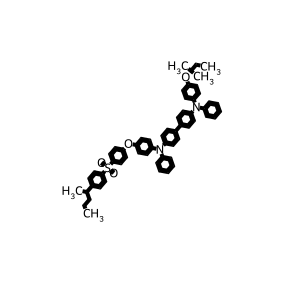 CCCC(C)c1ccc(S(=O)(=O)c2ccc(Oc3ccc(N(c4ccccc4)c4ccc(-c5ccc(N(c6ccccc6)c6ccc(OC(C)(C)CC)cc6)cc5)cc4)cc3)cc2)cc1